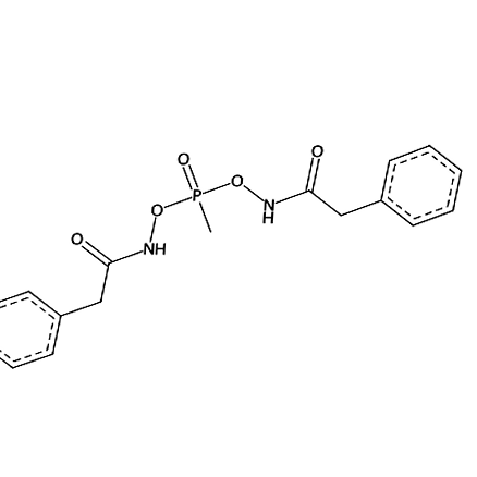 CP(=O)(ONC(=O)Cc1ccccc1)ONC(=O)Cc1ccccc1